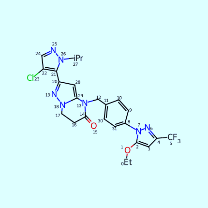 CCOc1cc(C(F)(F)F)nn1-c1ccc(CN2C(=O)CCn3nc(-c4c(Cl)cnn4C(C)C)cc32)cc1